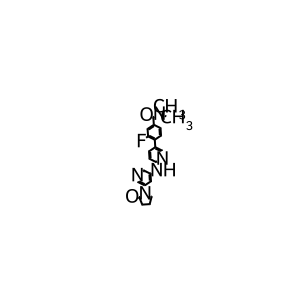 CN(C)C(=O)c1ccc(-c2ccc(Nc3cncc(N4CCCC4=O)c3)nc2)c(F)c1